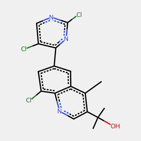 Cc1c(C(C)(C)O)cnc2c(Cl)cc(-c3nc(Cl)ncc3Cl)cc12